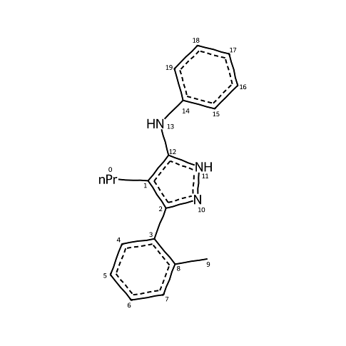 CCCc1c(-c2ccccc2C)n[nH]c1Nc1ccccc1